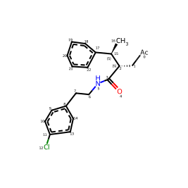 CC(=O)C[C@H](C(=O)NCCc1ccc(Cl)cc1)[C@H](C)c1ccccc1